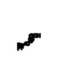 OC1CCc2cc(OCCCC(F)(F)F)ccc21